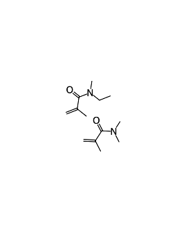 C=C(C)C(=O)N(C)C.C=C(C)C(=O)N(C)CC